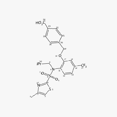 Cc1csc(S(=O)(=O)N(CC(C)C)c2ccc(C(F)(F)F)cc2OCc2ccc(C(=O)O)cc2)n1